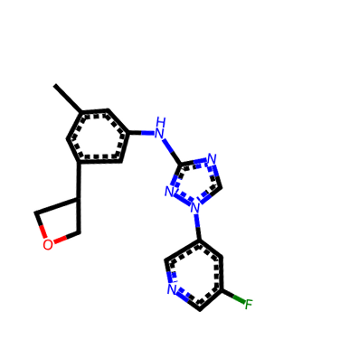 Cc1cc(Nc2ncn(-c3cncc(F)c3)n2)cc(C2COC2)c1